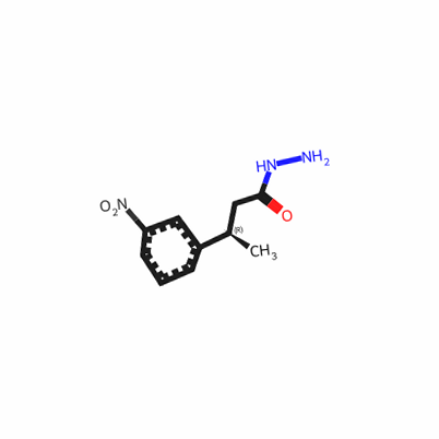 C[C@H](CC(=O)NN)c1cccc([N+](=O)[O-])c1